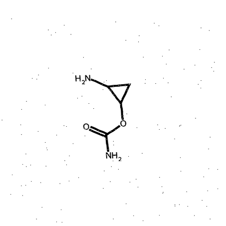 NC(=O)OC1CC1N